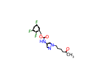 CC(=O)CCCCn1cc(NC(=O)OCc2cc(F)cc(F)c2F)cn1